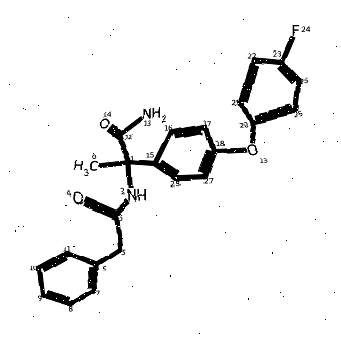 CC(NC(=O)Cc1ccccc1)(C(N)=O)c1ccc(Oc2ccc(F)cc2)cc1